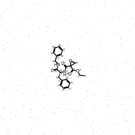 CCOC(=O)C1(C(=O)N[C@@H](Cc2ccccc2)C(=O)NCc2ccccc2)CO1